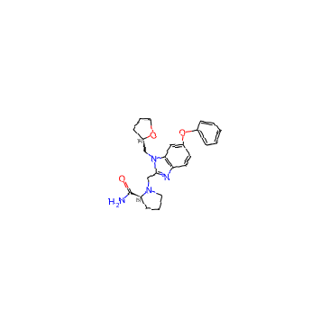 NC(=O)[C@@H]1CCCN1Cc1nc2ccc(Oc3ccccc3)cc2n1C[C@H]1CCCO1